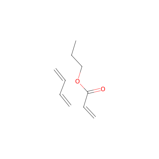 C=CC(=O)OCCC.C=CC=C